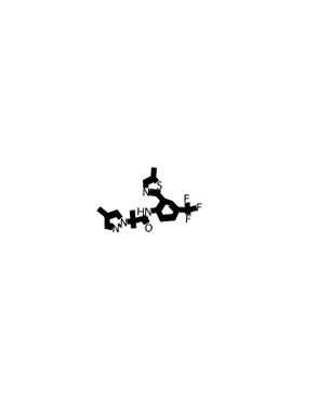 Cc1cnn(C(C)(C)C(=O)Nc2ccc(C(F)(F)F)cc2-c2ncc(C)s2)c1